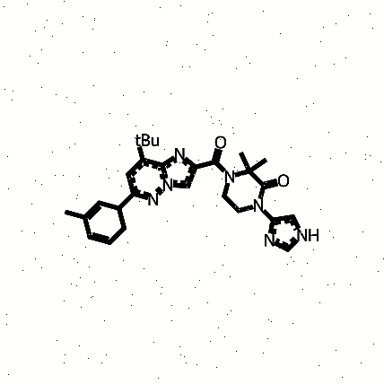 CC1=CC(c2cc(C(C)(C)C)c3nc(C(=O)N4CCN(c5c[nH]cn5)C(=O)C4(C)C)cn3n2)CC=C1